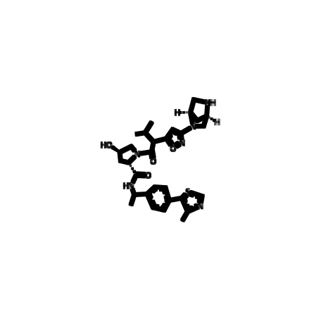 Cc1ncsc1-c1ccc(C(C)NC(=O)[C@@H]2C[C@@H](O)CN2C(=O)C(c2cc(N3C[C@H]4C[C@@H]3CN4)no2)C(C)C)cc1